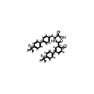 O=C(N[C@@H](Cc1ccc(-c2ccc(C(F)(F)F)cc2)cc1)C(=O)O)c1cc(-c2ccc(C(F)(F)F)cc2)ccc1Cl